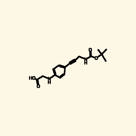 CC(C)(C)OC(=O)NCC#Cc1ccc(NCC(=O)O)cc1